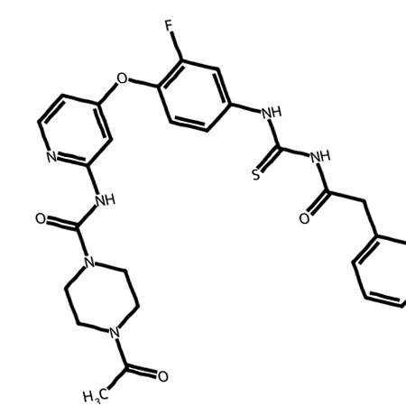 CC(=O)N1CCN(C(=O)Nc2cc(Oc3ccc(NC(=S)NC(=O)Cc4ccccc4)cc3F)ccn2)CC1